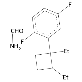 CCC1CCC1(CC)c1cc(F)ccc1F.NC=O